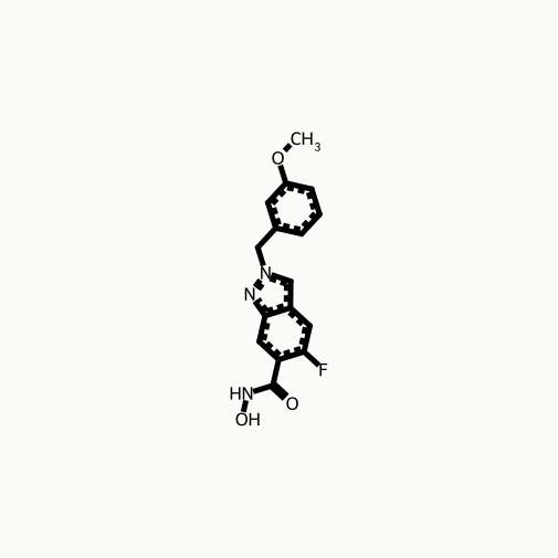 COc1cccc(Cn2cc3cc(F)c(C(=O)NO)cc3n2)c1